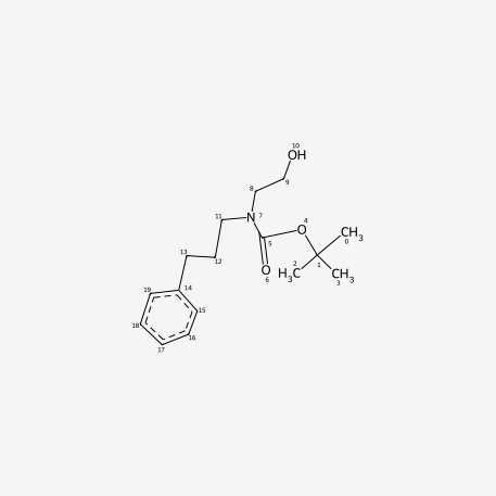 CC(C)(C)OC(=O)N(CCO)CCCc1ccccc1